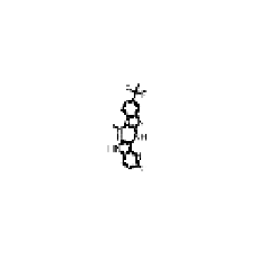 CNn1c(Nc2c[nH]c3ccc(Cl)nc23)nc2cc(C(C)(F)F)ccc21